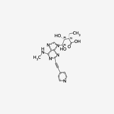 CC[C@H](C(=O)O)[C@@H](O)[C@@H](O)n1cnc2c(NC)nc(C#Cc3ccncc3)nc21